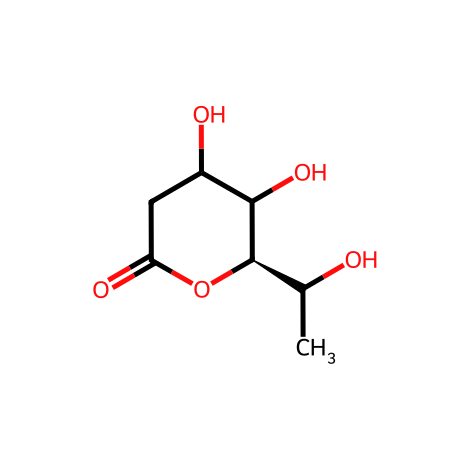 CC(O)[C@H]1OC(=O)CC(O)C1O